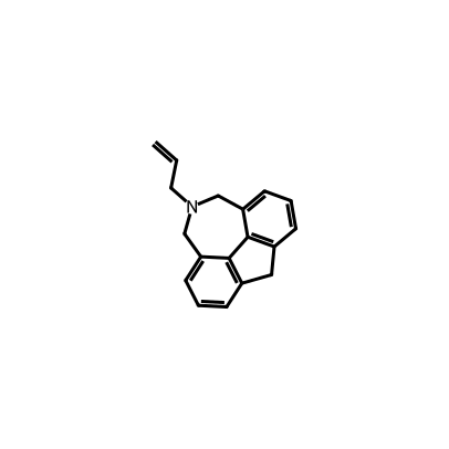 C=CCN1Cc2cccc3c2-c2c(cccc2C1)C3